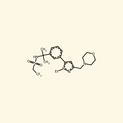 CCn1nc(CN2CCOCC2)cc1-c1cccc(C(C)(C)NS(=O)(=O)CC(F)(F)F)c1